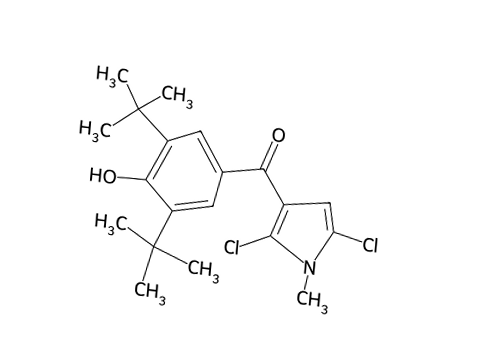 Cn1c(Cl)cc(C(=O)c2cc(C(C)(C)C)c(O)c(C(C)(C)C)c2)c1Cl